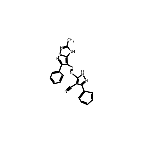 Cc1nn2nc(-c3ccccc3)c(N=Nc3[nH]nc(-c4ccccc4)c3C#N)c2[nH]1